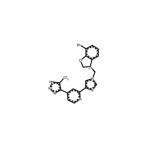 CC(C)c1cccc2c1OC[C@@H]2Cn1cnc(-c2cc(-c3nn[nH]c3C(F)(F)F)ccn2)c1